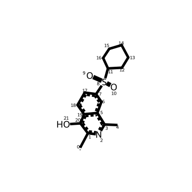 [CH2]c1nc(C)c2cc(S(=O)(=O)C3CCCCC3)ccc2c1O